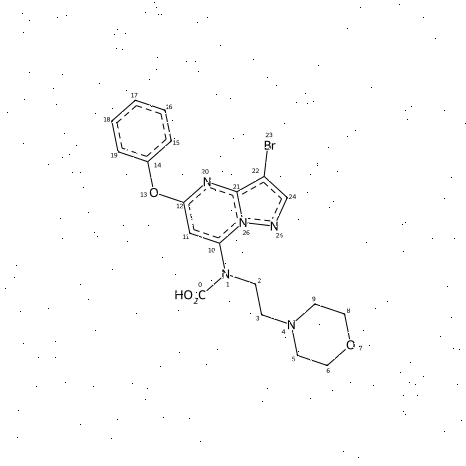 O=C(O)N(CCN1CCOCC1)c1cc(Oc2ccccc2)nc2c(Br)cnn12